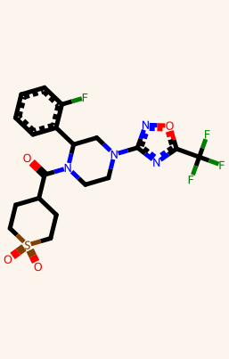 O=C(C1CCS(=O)(=O)CC1)N1CCN(c2noc(C(F)(F)F)n2)CC1c1ccccc1F